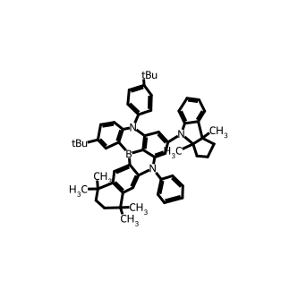 CC(C)(C)c1ccc(N2c3ccc(C(C)(C)C)cc3B3c4cc5c(cc4N(c4ccccc4)c4cc(N6c7ccccc7C7(C)CCCC67C)cc2c43)C(C)(C)CCC5(C)C)cc1